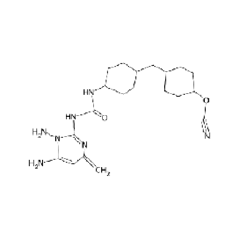 C=C1C=C(N)N(N)C(NC(=O)NC2CCC(CC3CCC(OC#N)CC3)CC2)=N1